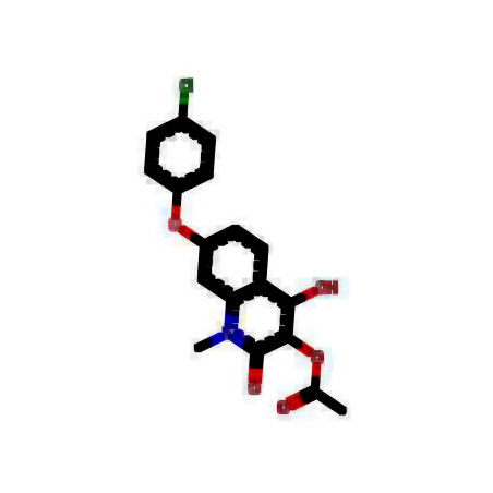 CC(=O)Oc1c(O)c2ccc(Oc3ccc(Cl)cc3)cc2n(C)c1=O